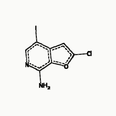 Nc1ncc(I)c2cc(Cl)oc12